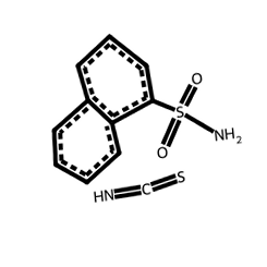 N=C=S.NS(=O)(=O)c1cccc2ccccc12